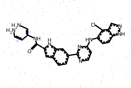 N/C=C\C(=C/N)NC(=O)c1cc2ccc(-c3nccc(Nc4ccc5[nH]ncc5c4Cl)n3)cc2[nH]1